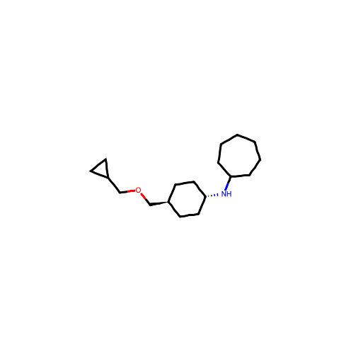 C1CCCC(N[C@H]2CC[C@H](COCC3CC3)CC2)CC1